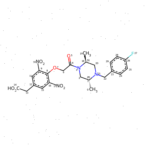 C[C@@H]1CN(C(=O)COc2c([N+](=O)[O-])cc(CC(=O)O)cc2[N+](=O)[O-])[C@@H](C)CN1Cc1ccc(F)cc1